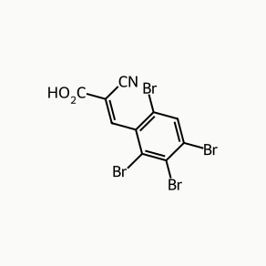 N#C/C(=C\c1c(Br)cc(Br)c(Br)c1Br)C(=O)O